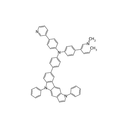 C=N/C=C(\C=C/C)c1ccc(N(c2ccc(-c3cccnc3)cc2)c2ccc(-c3ccc4c(c3)c3cc5c(ccn5-c5ccccc5)cc3n4-c3ccccc3)cc2)cc1